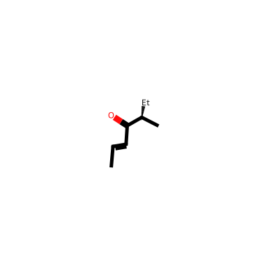 C/C=C/C(=O)[C@H](C)CC